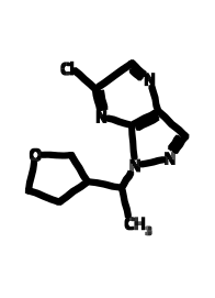 CC(C1CCOC1)n1ncc2ncc(Cl)nc21